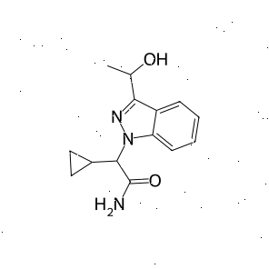 CC(O)c1nn(C(C(N)=O)C2CC2)c2ccccc12